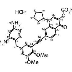 COc1cc(Cc2cnc(N)nc2N)cc(C#Cc2ccc3c(=O)c(OC(=O)O)cn(C4CCCC4)c3c2)c1OC.Cl